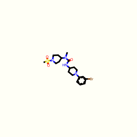 CN(C(=O)NC1CCN(c2cccc(Br)c2)CC1)C1CCN(S(C)(=O)=O)CC1